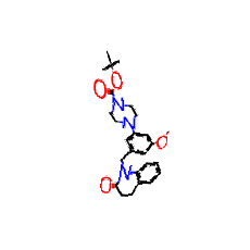 COc1cc(CN2C(=O)CCc3ccccc32)cc(N2CCN(C(=O)OC(C)(C)C)CC2)c1